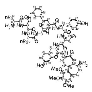 CCCC[C@H](NC(=O)[C@H](CO)NC(=O)[C@@H](N)CCCC)C(=O)NCC(=O)N[C@@H](CCc1ccccc1)C(=O)N[C@@H](Cc1ccc(O)cc1)C(=O)N[C@@H](CC(C)C)C(=O)N[C@@H](Cc1ccc(O)cc1)C(=O)Nc1ccc2c(cc1=O)[C@@H](N)CCc1cc(OC)c(OC)c(OC)c1-2